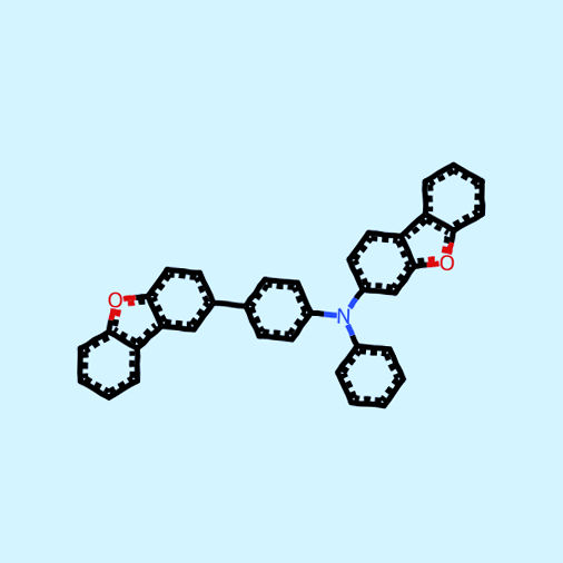 c1ccc(N(c2ccc(-c3ccc4oc5ccccc5c4c3)cc2)c2ccc3c(c2)oc2ccccc23)cc1